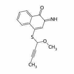 CC#CC(OC)SC1=CC(=N)C(=O)c2ccccc21